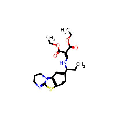 CCOC(=O)C(=CNC(CC)c1ccc2c(c1)N1CCCN=C1S2)C(=O)OCC